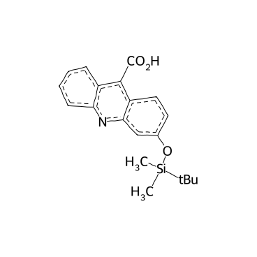 CC(C)(C)[Si](C)(C)Oc1ccc2c(C(=O)O)c3ccccc3nc2c1